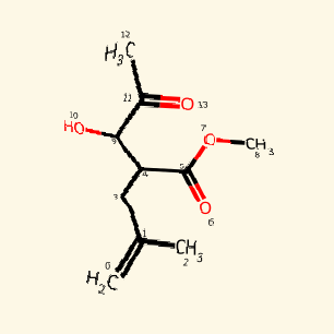 C=C(C)CC(C(=O)OC)C(O)C(C)=O